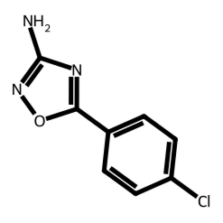 Nc1noc(-c2ccc(Cl)cc2)n1